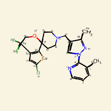 Cc1cccnc1-n1cc(CN2CCC3(CC2)OCC(F)(F)c2cc(Cl)sc23)c(C)n1